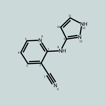 N#Cc1cccnc1Nc1cc[nH]n1